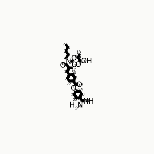 CCCCCN(C(=O)OC(C)C(=O)O)C(=O)/C(C)=C/c1ccc(C(=O)Oc2ccc(C(=N)N)cc2)cc1